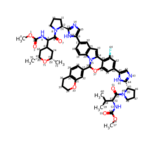 COC(=O)NC(C(=O)N1CCC[C@H]1c1ncc(-c2ccc3c(c2)cc2n3C(c3ccc4c(c3)OCCC4)Oc3cc(-c4cnc([C@@H]5CCCN5C(=O)[C@@H](NC(=O)OC)C(C)C)[nH]4)cc(F)c3-2)[nH]1)C1C[C@@H](C)O[C@@H](C)C1